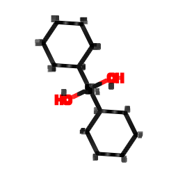 O[Si](O)(C1CCCCC1)C1CCCCC1